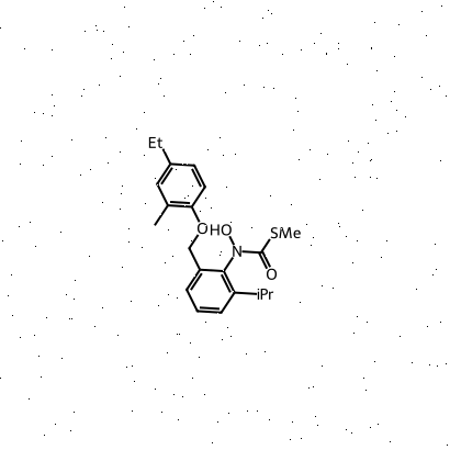 CCc1ccc(OCc2cccc(C(C)C)c2N(O)C(=O)SC)c(C)c1